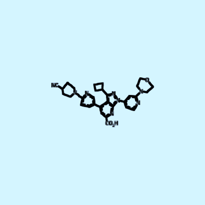 N#CC1CCN(c2ccc(-c3cc(C(=O)O)nc4c3c(C3CCC3)nn4-c3ccnc(N4CCOCC4)c3)cn2)CC1